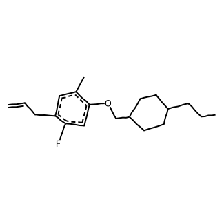 C=CCc1cc(C)c(OCC2CCC(CCC)CC2)cc1F